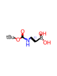 CC(C)(C)OC(=O)N/C=C/B(O)O